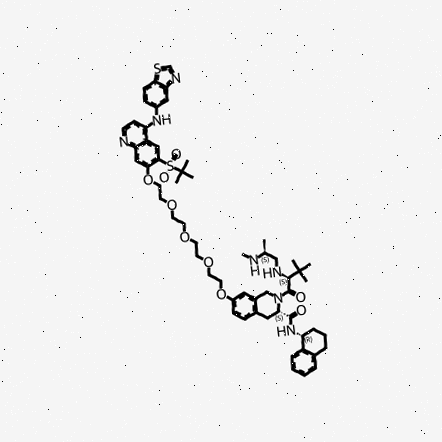 CN[C@@H](C)CN[C@H](C(=O)N1Cc2cc(OCCOCCOCCOCCOc3cc4nccc(Nc5ccc6scnc6c5)c4cc3S(=O)(=O)C(C)(C)C)ccc2C[C@H]1C(=O)N[C@@H]1CCCc2ccccc21)C(C)(C)C